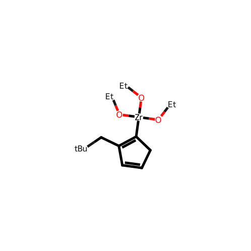 CC[O][Zr]([O]CC)([O]CC)[C]1=C(CC(C)(C)C)C=CC1